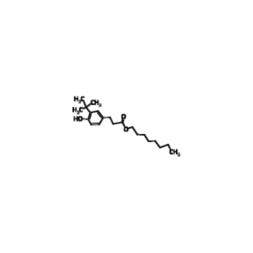 CCCCCCCCOC(=O)CCc1ccc(O)c(C(C)(C)C)c1